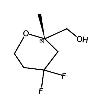 C[C@@]1(CO)CC(F)(F)CCO1